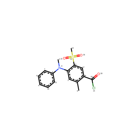 Cc1cc(N(C)c2ccccc2)c(S(C)(=O)=O)cc1C(=O)Cl